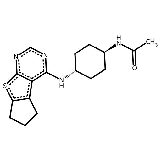 CC(=O)N[C@H]1CC[C@H](Nc2ncnc3sc4c(c23)CCC4)CC1